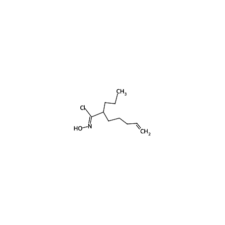 C=CCCCC(CCC)/C(Cl)=N/O